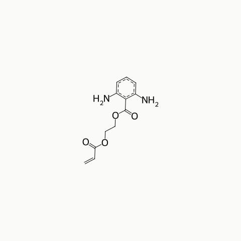 C=CC(=O)OCCOC(=O)c1c(N)cccc1N